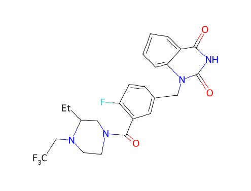 CCC1CN(C(=O)c2cc(Cn3c(=O)[nH]c(=O)c4ccccc43)ccc2F)CCN1CC(F)(F)F